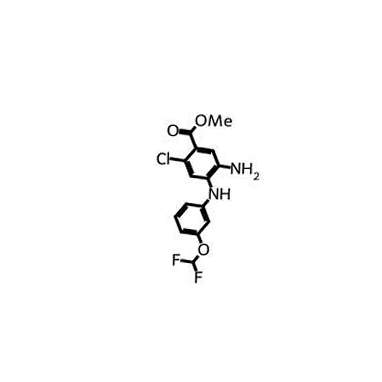 COC(=O)c1cc(N)c(Nc2cccc(OC(F)F)c2)cc1Cl